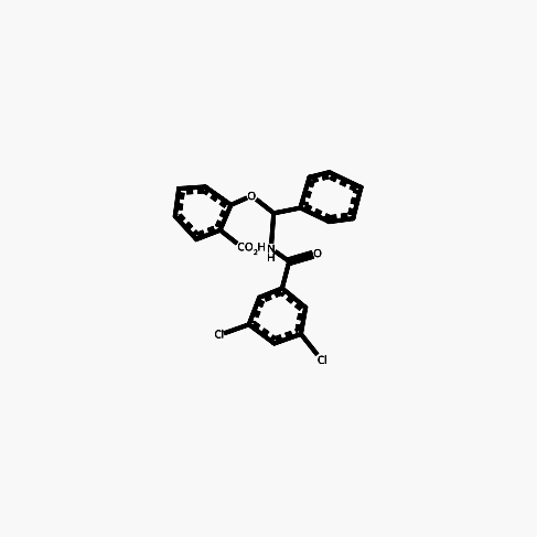 O=C(NC(Oc1ccccc1C(=O)O)c1ccccc1)c1cc(Cl)cc(Cl)c1